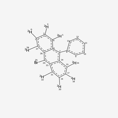 [2H]c1c([2H])c([2H])c2c(-c3ccccc3)c3c([2H])c([2H])c([2H])c([2H])c3c(Br)c2c1[2H]